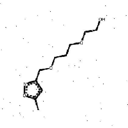 Cc1cc(COCCCOCCO)no1